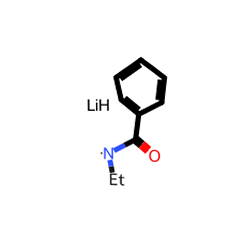 CC[N]C(=O)c1ccccc1.[LiH]